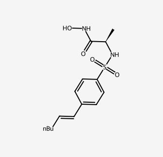 CCCCC=Cc1ccc(S(=O)(=O)N[C@H](C)C(=O)NO)cc1